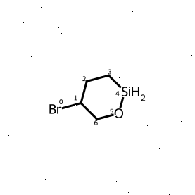 BrC1CC[SiH2]OC1